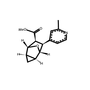 COC(=O)[C@@H]1[C@@H]2O[C@@H]([C@H]3C[C@H]32)[C@@H]1c1ccnc(C)c1